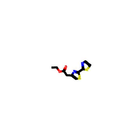 CCOC(=O)Cc1csc(-c2nccs2)n1